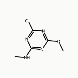 CNc1nc(Cl)nc(OC)n1